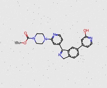 CC(C)(C)OC(=O)N1CCN(c2cc(C3=NCc4ccc(-c5ccnc(O)c5)cc43)ccn2)CC1